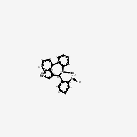 NN1c2ccccc2-c2ccnc3[nH]cc(c23)C1c1ccccc1N=O